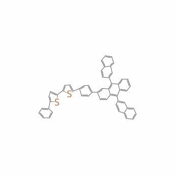 c1ccc(-c2ccc(-c3ccc(-c4ccc(-c5ccc6c(-c7ccc8ccccc8c7)c7ccccc7c(-c7ccc8ccccc8c7)c6c5)cc4)s3)s2)cc1